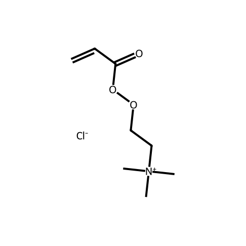 C=CC(=O)OOCC[N+](C)(C)C.[Cl-]